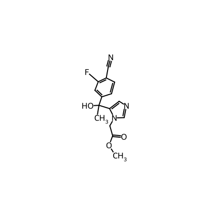 COC(=O)Cn1cncc1C(C)(O)c1ccc(C#N)c(F)c1